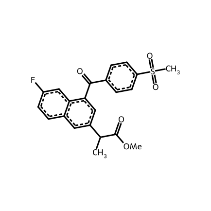 COC(=O)C(C)c1cc(C(=O)c2ccc(S(C)(=O)=O)cc2)c2cc(F)ccc2c1